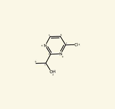 CC(O)c1nccc(Cl)n1